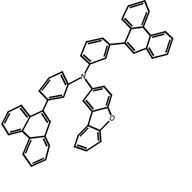 c1cc(-c2cc3ccccc3c3ccccc23)cc(N(c2cccc(-c3cc4ccccc4c4ccccc34)c2)c2ccc3oc4ccccc4c3c2)c1